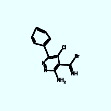 N=C(Br)c1c(N)nnc(-c2ccccc2)c1Cl